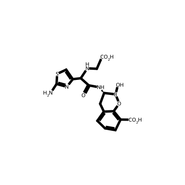 Nc1nc(C(NCC(=O)O)C(=O)N[C@H]2Cc3cccc(C(=O)O)c3OB2O)cs1